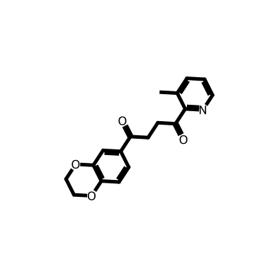 Cc1cccnc1C(=O)CCC(=O)c1ccc2c(c1)OCCO2